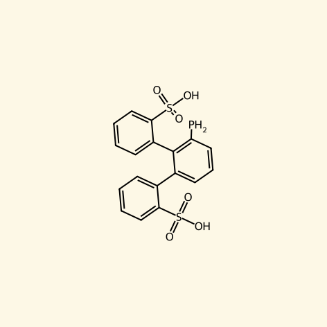 O=S(=O)(O)c1ccccc1-c1cccc(P)c1-c1ccccc1S(=O)(=O)O